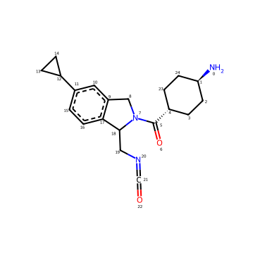 N[C@H]1CC[C@H](C(=O)N2Cc3cc(C4CC4)ccc3C2CN=C=O)CC1